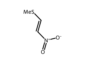 CSC=C[N+](=O)[O-]